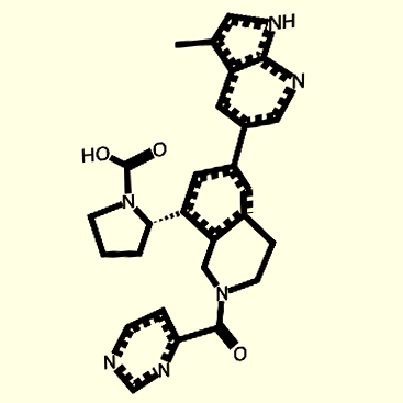 Cc1c[nH]c2ncc(-c3cc4c(c([C@@H]5CCCN5C(=O)O)c3)CN(C(=O)c3ccncn3)CC4)cc12